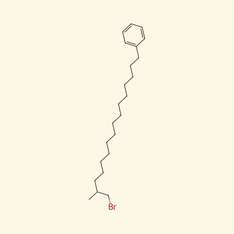 CC(CBr)CCCCCCCCCCCCCCc1ccccc1